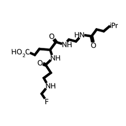 CC(C)CCC(=O)NCCNC(=O)C(CCC(=O)O)NC(=O)CCNCF